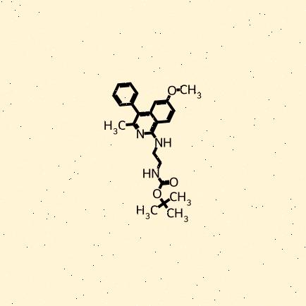 COc1ccc2c(NCCNC(=O)OC(C)(C)C)nc(C)c(-c3ccccc3)c2c1